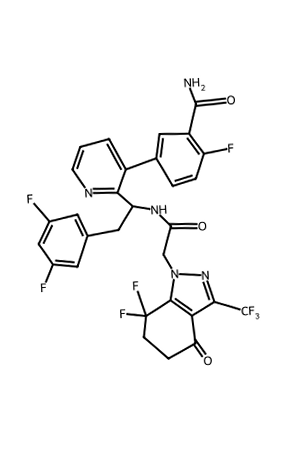 NC(=O)c1cc(-c2cccnc2C(Cc2cc(F)cc(F)c2)NC(=O)Cn2nc(C(F)(F)F)c3c2C(F)(F)CCC3=O)ccc1F